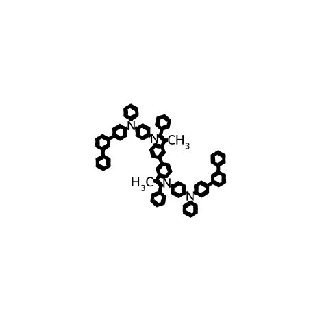 Cc1c(-c2ccccc2)n(-c2ccc(N(c3ccccc3)c3ccc(-c4cccc(-c5ccccc5)c4)cc3)cc2)c2ccc(-c3ccc4c(c3)c(C)c(-c3ccccc3)n4-c3ccc(N(c4ccccc4)c4ccc(-c5cccc(-c6ccccc6)c5)cc4)cc3)cc12